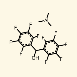 OC(c1c(F)c(F)c(F)c(F)c1F)c1c(F)c(F)c(F)c(F)c1F.[CH3][Al]([CH3])[CH3]